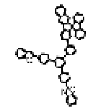 c1cc(-c2cc(-c3ccc(-c4cc5ccccc5o4)cc3)cc(-c3ccc(-c4nc5ccccc5o4)cc3)c2)cc(-c2ccc3c(c2)C2(c4ccccc4-c4ccccc42)c2cc4ccccc4cc2-3)c1